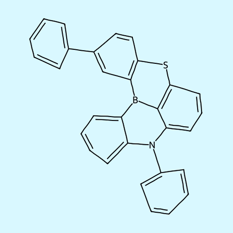 c1ccc(-c2ccc3c(c2)B2c4ccccc4N(c4ccccc4)c4cccc(c42)S3)cc1